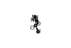 N#Cc1nccnc1N1CCN(C(=O)c2ccc(Cl)c(C#Cc3ccccn3)c2)CC1